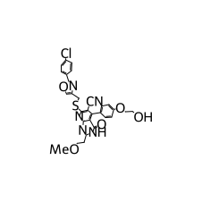 COCCc1nc2nc(SCc3coc(-c4ccc(Cl)cc4)n3)c(C#N)c(-c3ccc(OCCO)cc3)c2c(=O)[nH]1